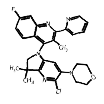 Cc1c(-c2ccccn2)nc2cc(F)ccc2c1N1CC(C)(C)c2nc(Cl)c(N3CCOCC3)cc21